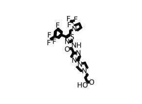 O=C(O)CCN1CCN(c2cnc(C(=O)Nc3nc(-c4cc(F)cc(C(F)(F)F)c4)c(CN4CCC[C@H]4C(F)(F)F)s3)cn2)CC1